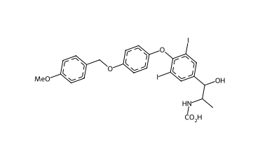 COc1ccc(COc2ccc(Oc3c(I)cc(C(O)C(C)NC(=O)O)cc3I)cc2)cc1